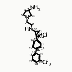 Cl.Cl.NC1CCN(CCNC2CC2c2ccc(-c3cccc(C(F)(F)F)c3)cc2)C1